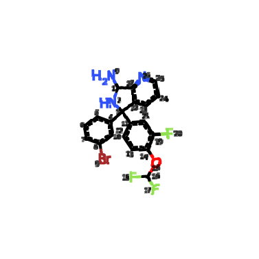 NC1NC(c2cccc(Br)c2)(c2ccc(OC(F)F)c(F)c2)c2cccnc21